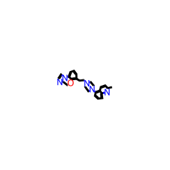 Cc1ccc2c(N3CCN(CCc4cccc5c4OCc4nccn4-5)CC3)cccc2n1